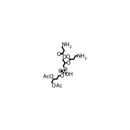 CC(=O)OC[C@H](CCOP(=O)(O)OCC(COC(=O)CCN)OC(=O)CCN)OC(C)=O